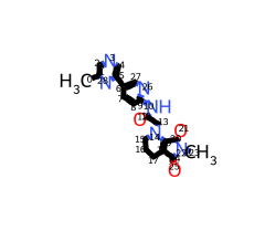 Cc1cncc(-c2ccc(NC(=O)CN3CCCC4=C3C(=O)N(C)C4=O)nc2)n1